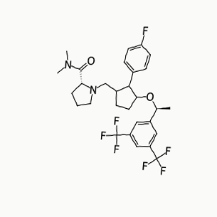 C[C@H](OC1CCC(CN2CCC[C@@H]2C(=O)N(C)C)C1c1ccc(F)cc1)c1cc(C(F)(F)F)cc(C(F)(F)F)c1